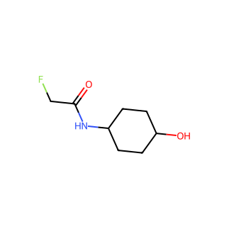 O=C(CF)NC1CCC(O)CC1